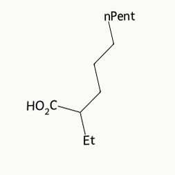 CCCCCCCCC(CC)C(=O)O